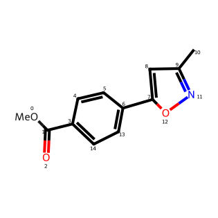 COC(=O)c1ccc(-c2cc(C)no2)cc1